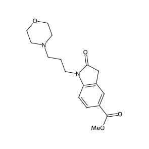 COC(=O)c1ccc2c(c1)CC(=O)N2CCCN1CCOCC1